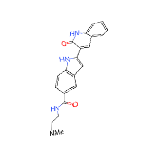 CNCCNC(=O)c1ccc2[nH]c(-c3cc4ccccc4[nH]c3=O)cc2c1